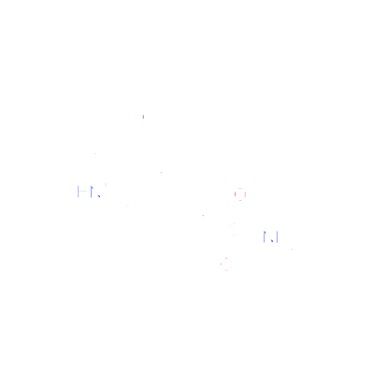 NS(=O)(=O)c1ccc2[nH]cc(Cl)c2c1